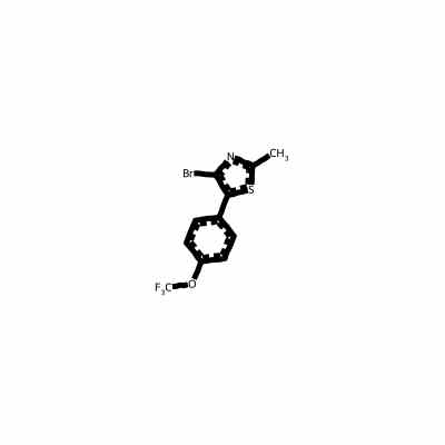 Cc1nc(Br)c(-c2ccc(OC(F)(F)F)cc2)s1